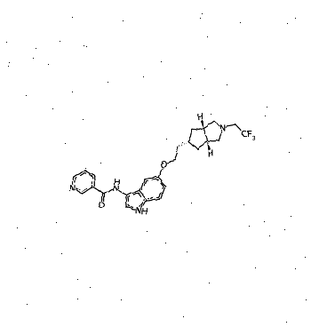 O=C(Nc1c[nH]c2ccc(OCC[C@@H]3C[C@@H]4CN(CC(F)(F)F)C[C@@H]4C3)cc12)c1cccnc1